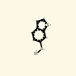 CCOc1ccc2[c]csc2c1